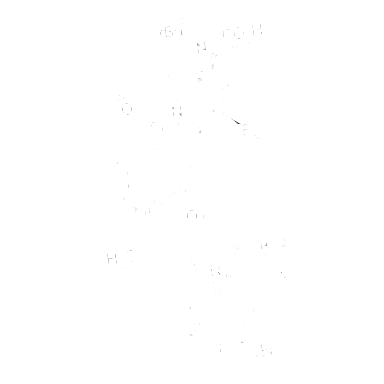 Cc1c(-c2cc3ccc(Br)cc3n2CC2CC2)oc2cc(C(=O)N3C[C@H](F)C[C@@H](N(C(=O)O)C(C)(C)C)C3)ccc12